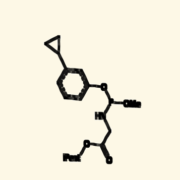 CCCC(C)OC(=O)CNP(OC)Oc1cccc(C2CC2)c1